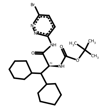 CC(C)(C)OC(=O)N[C@H](C(=O)Nc1ccc(Br)nn1)C(C1CCCCC1)C1CCCCC1